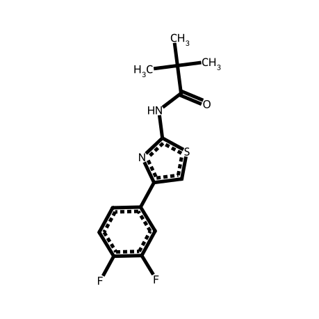 CC(C)(C)C(=O)Nc1nc(-c2ccc(F)c(F)c2)cs1